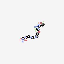 O=C1CC[C@H](N2Cc3ccc(N4CCC(CN5CCc6cc(O[C@H]7CN8c9cc(-c%10cccc(F)c%10O)nnc9NC[C@@]8(C(F)F)C7)ccc6C5)CC4)cc3C2=O)C(=O)N1